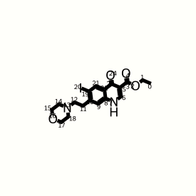 CCOC(=O)c1c[nH]c2cc(CCN3CCOCC3)c(I)cc2c1=O